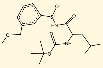 COCc1cccc([S+]([O-])NC(=O)C(CC(C)C)NC(=O)OC(C)(C)C)c1